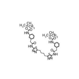 CC(C)(C)OC(=O)Nc1cccc(CC(=O)Nc2nnc(CCCCc3nnc(NC(=O)Cc4cccc(NC(=O)OC(C)(C)C)c4)s3)s2)c1